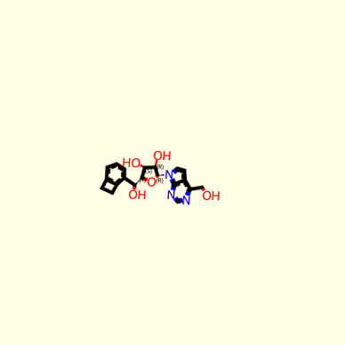 OCc1ncnc2c1ccn2[C@@H]1O[C@H](C(O)c2cccc3c2CC3)[C@@H](O)[C@H]1O